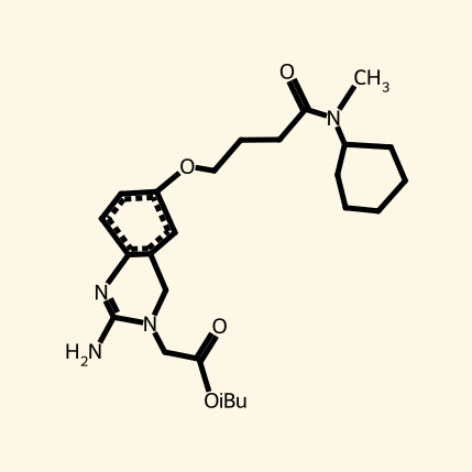 CC(C)COC(=O)CN1Cc2cc(OCCCC(=O)N(C)C3CCCCC3)ccc2N=C1N